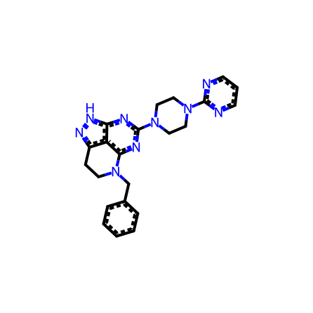 c1ccc(CN2CCc3n[nH]c4nc(N5CCN(c6ncccn6)CC5)nc2c34)cc1